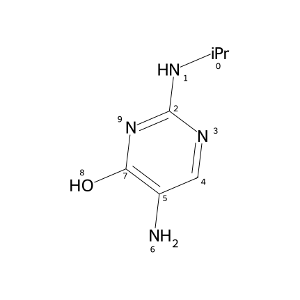 CC(C)Nc1ncc(N)c(O)n1